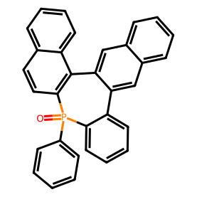 O=P1(c2ccccc2)c2ccccc2-c2cc3ccccc3cc2-c2c1ccc1ccccc21